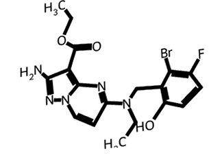 CCOC(=O)c1c(N)nn2ccc(N(CC)Cc3c(O)ccc(F)c3Br)nc12